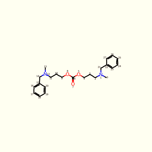 CN(CCCOC(=O)OCCCN(C)Cc1ccccc1)Cc1ccccc1